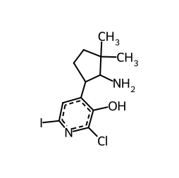 CC1(C)CCC(c2cc(I)nc(Cl)c2O)C1N